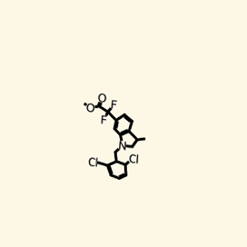 COC(=O)C(F)(F)c1ccc2c(c1)N(CC1C(Cl)=CC=CC1Cl)CC2C